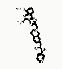 COc1cccc2c1nc(N)n1nc(CN3CCc4ccc(CC(=O)Nc5cccnc5)cc4C3)nc21